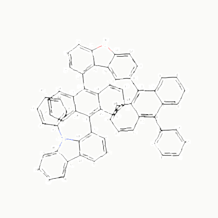 c1ccc(-c2c3ccccc3c(-c3ccc4oc5cccc(-c6c7ccccc7c(-c7cccc8c9ccccc9n(-c9ccccc9)c78)c7ccccc67)c5c4c3)c3ccccc23)cc1